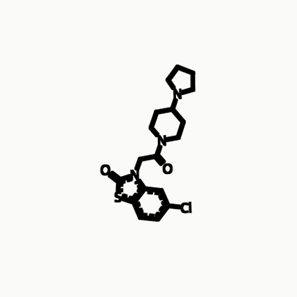 O=C(Cn1c(=O)sc2ccc(Cl)cc21)N1CCC(N2CCCC2)CC1